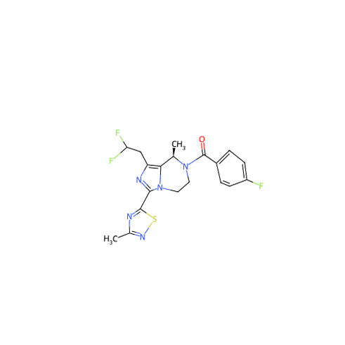 Cc1nsc(-c2nc(CC(F)F)c3n2CCN(C(=O)c2ccc(F)cc2)[C@@H]3C)n1